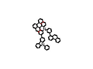 c1ccc(-c2cccc3cccc(-c4ccccc4N(c4cccc(-c5ccc6c(c5)c5ccccc5n6-c5ccccc5)c4)c4cccc(-c5cccc6c5ccc5ccccc56)c4)c23)cc1